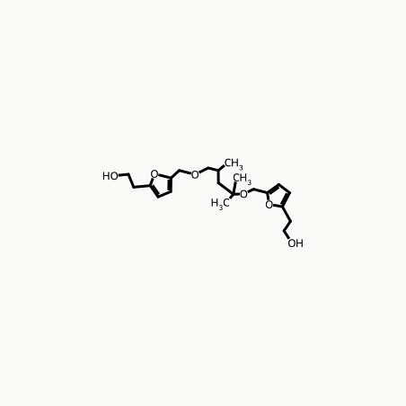 CC(COCc1ccc(CCO)o1)CC(C)(C)OCc1ccc(CCO)o1